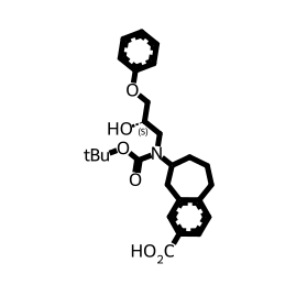 CC(C)(C)OC(=O)N(C[C@H](O)COc1ccccc1)C1CCCc2ccc(C(=O)O)cc2C1